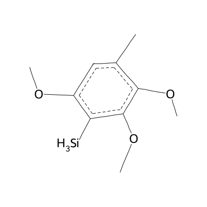 COc1cc(C)c(OC)c(OC)c1[SiH3]